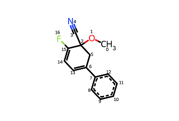 COC1(C#N)CC(c2ccccc2)=CC=C1F